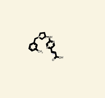 Cc1cccc(CN2CC[C@@H](Nc3cnc(/C=C/C(=O)O)cn3)C2)c1